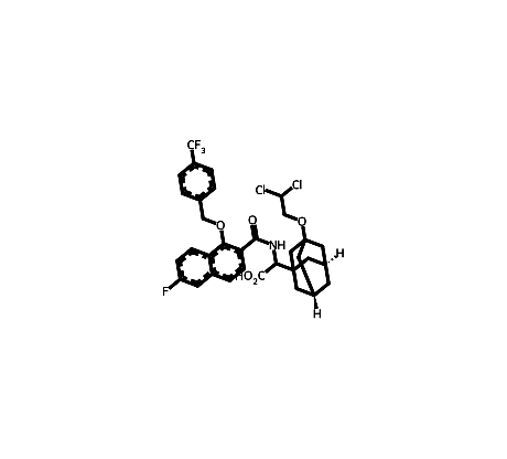 O=C(NC(C(=O)O)C12C[C@@H]3C[C@@H](CC(OCC(Cl)Cl)(C3)C1)C2)c1ccc2cc(F)ccc2c1OCc1ccc(C(F)(F)F)cc1